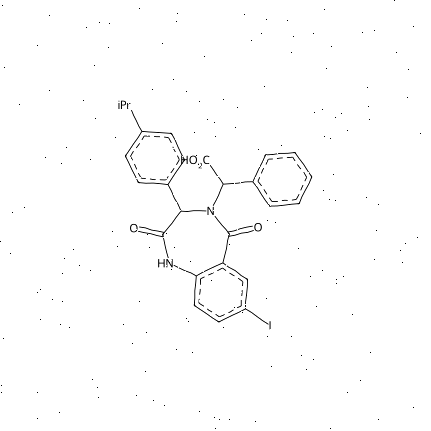 CC(C)c1ccc(C2C(=O)Nc3ccc(I)cc3C(=O)N2C(C(=O)O)c2ccccc2)cc1